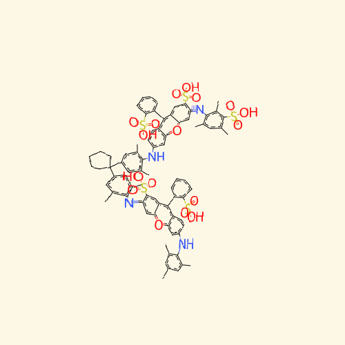 Cc1cc(C)c(Nc2ccc3c(-c4ccccc4S(=O)(=O)O)c4cc(S(=O)(=O)O)c(=Nc5c(C)cc(C6(c7cc(C)c(Nc8ccc9c(-c%10ccccc%10S(=O)(=O)O)c%10cc(S(=O)(=O)O)/c(=N/c%11c(C)cc(C)c(S(=O)(=O)O)c%11C)cc-%10oc9c8)c(C)c7)CCCCC6)cc5C)cc-4oc3c2)c(C)c1